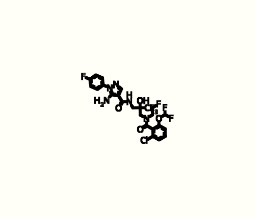 Nc1c(C(=O)NCC(O)(CN(CCF)C(=O)c2c(Cl)cccc2OC(F)F)C(F)(F)F)cnn1-c1ccc(F)cc1